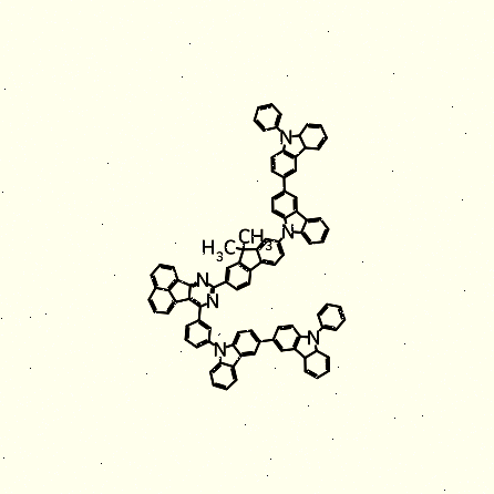 CC1(C)c2cc(-c3nc(-c4cccc(-n5c6ccccc6c6cc(-c7ccc8c(c7)C7C=CC=CC7N8c7ccccc7)ccc65)c4)c4c(n3)-c3cccc5cccc-4c35)ccc2-c2ccc(-n3c4ccccc4c4cc(-c5ccc6c(c5)C5C=CC=CC5N6c5ccccc5)ccc43)cc21